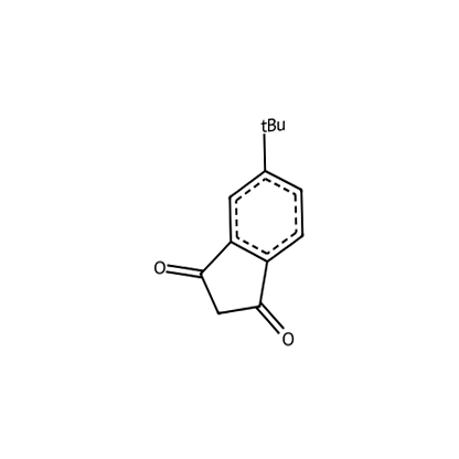 CC(C)(C)c1ccc2c(c1)C(=O)CC2=O